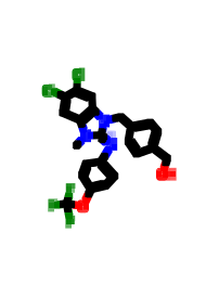 Cn1/c(=N\c2ccc(OC(F)(F)F)cc2)n(Cc2ccc(CO)cc2)c2cc(Cl)c(Cl)cc21